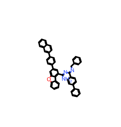 N/C(=N\C(=N/Cc1ccccc1)c1ccc(-c2ccccc2)cc1)c1cc(-c2ccc(-c3ccc4ccccc4c3)cc2)cc2oc3ccccc3c12